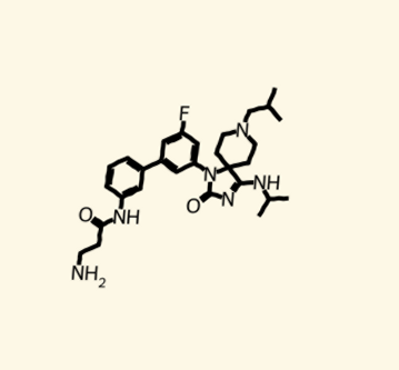 CC(C)CN1CCC2(CC1)C(NC(C)C)=NC(=O)N2c1cc(F)cc(-c2cccc(NC(=O)CCN)c2)c1